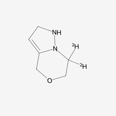 [2H]C1([2H])COCC2=CCNN21